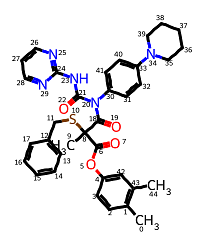 Cc1ccc(OC(=O)C(C)(SCc2ccccc2)C(=O)N(C(=O)Nc2ncccn2)c2ccc(N3CCCCC3)cc2)cc1C